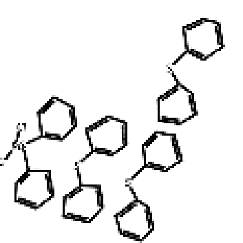 [Cl][Ru][Cl].c1ccc(Sc2ccccc2)cc1.c1ccc(Sc2ccccc2)cc1.c1ccc(Sc2ccccc2)cc1.c1ccc(Sc2ccccc2)cc1